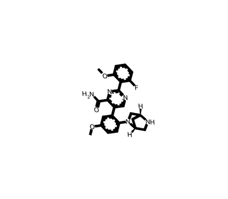 COc1ccc(N2C[C@H]3C[C@@H]2CN3)c(-c2cnc(-c3c(F)cccc3OC)nc2C(N)=O)c1